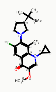 CNC(C)(C)[C@@H]1CCN(c2c(F)cc3c(=O)c(OC(=O)O)cn(C4CC4)c3c2C(F)(F)F)C1